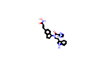 O=C(/C=C/c1ccc2c(c1)CCC2N(CCc1c[nH]c2ccccc12)C(=O)c1ncc[nH]1)NO